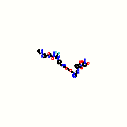 O=C1CCC(N2C(=O)c3cccc(NCCc4cnnn4CCOCCOCCNCc4ccc(-n5cc(NC(=O)c6coc(-c7ccnc(NCC8CC8)c7)n6)c(C(F)F)n5)cc4)c3C2=O)C(=O)N1